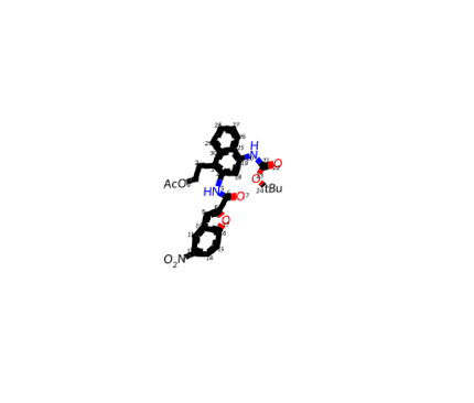 CC(=O)OCCc1c(NC(=O)c2cc3cc([N+](=O)[O-])ccc3o2)cc(NC(=O)OC(C)(C)C)c2ccccc12